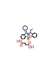 CCC(c1ccccc1)N1C(N2CCCCC2)c2ccccc2S1(=O)=O.O=C(O)/C=C/C(=O)O